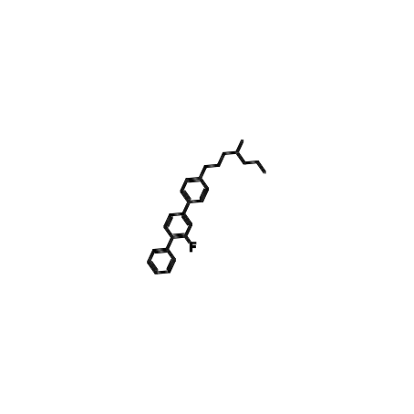 CCCC(C)CCCc1ccc(-c2ccc(-c3ccccc3)c(F)c2)cc1